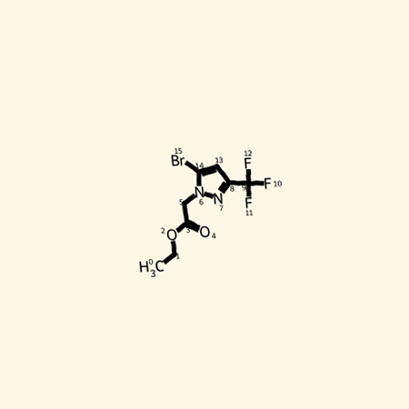 CCOC(=O)Cn1nc(C(F)(F)F)cc1Br